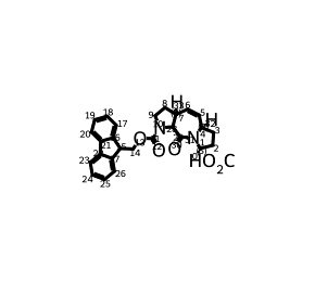 O=C(O)[C@@H]1CC[C@@H]2C=C[C@H]3CCN(C(=O)OCC4c5ccccc5-c5ccccc54)C3C(=O)N21